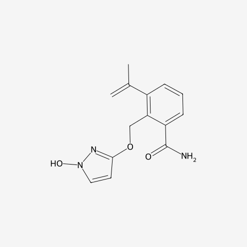 C=C(C)c1cccc(C(N)=O)c1COc1ccn(O)n1